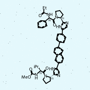 CCC(=O)N[C@@H](C(=O)N1CCC[C@H]1c1ncc(-c2ccc(-c3ccc4cc(-c5cnc([C@@H]6CCCN6C(=O)[C@@H](NC(=O)OC)C(C)C)[nH]5)ccc4c3)cc2)[nH]1)c1ccccc1